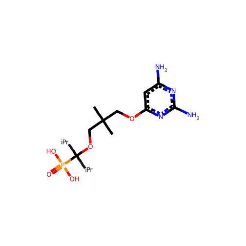 CC(C)C(OCC(C)(C)COc1cc(N)nc(N)n1)(C(C)C)P(=O)(O)O